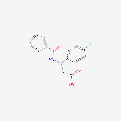 O=C(O)CC(NC(=O)c1ccccc1)c1ccc(F)cc1